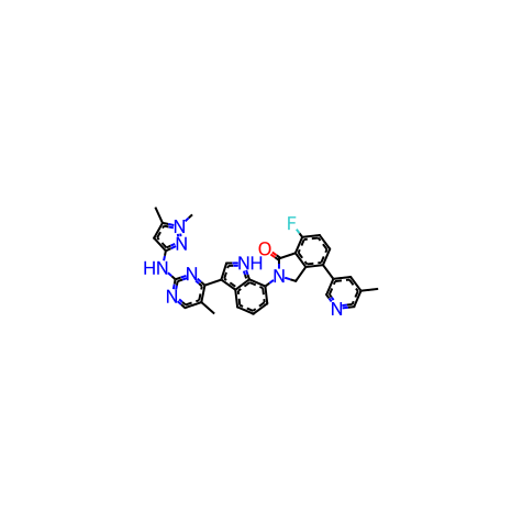 Cc1cncc(-c2ccc(F)c3c2CN(c2cccc4c(-c5nc(Nc6cc(C)n(C)n6)ncc5C)c[nH]c24)C3=O)c1